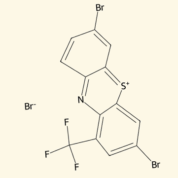 FC(F)(F)c1cc(Br)cc2[s+]c3cc(Br)ccc3nc12.[Br-]